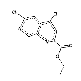 CCOC(=O)c1cc(Cl)c2cc(Cl)ncc2n1